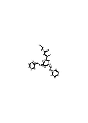 CCOC(=O)C=C(C)c1cc(OCc2ccccc2)cc(OCc2ccccc2)c1